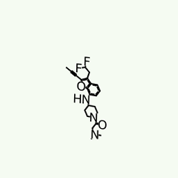 CC#Cc1oc2c(NC3CCN(C(=O)CN(C)C)CC3)cccc2c1CC(F)F